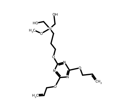 C=CCOc1nc(OCC=C)nc(OCCC[Si](CO)(CO)OC)n1